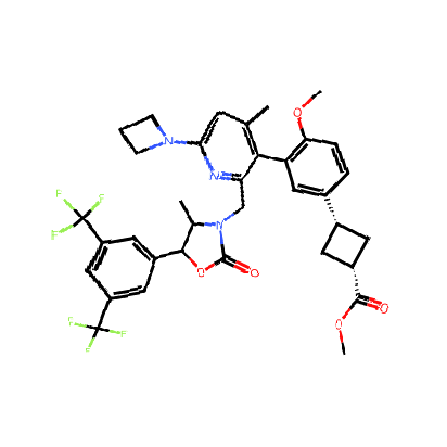 COc1ccc([C@H]2C[C@@H](C(=O)OC)C2)cc1-c1c(C)cc(N2CCC2)nc1CN1C(=O)OC(c2cc(C(F)(F)F)cc(C(F)(F)F)c2)C1C